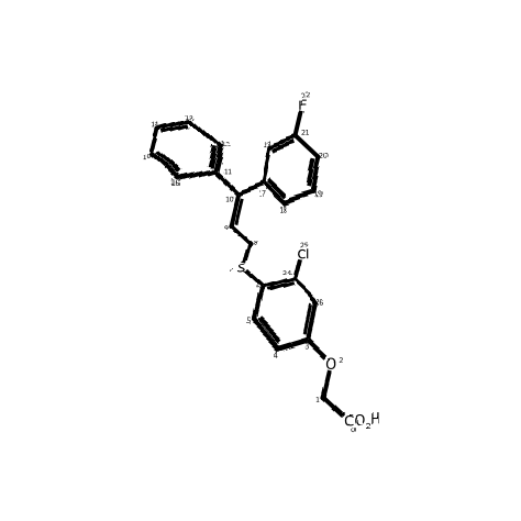 O=C(O)COc1ccc(SCC=C(c2ccccc2)c2cccc(F)c2)c(Cl)c1